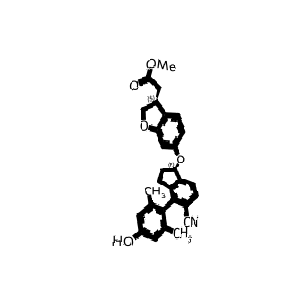 COC(=O)C[C@@H]1COc2cc(O[C@@H]3CCc4c3ccc(C#N)c4-c3c(C)cc(O)cc3C)ccc21